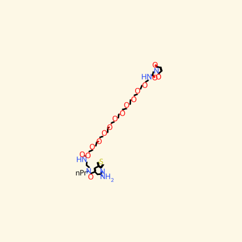 CCCN(CCCNC(=O)OCCOCCOCCOCCOCCOCCOCCOCCOCCOCCOCCNC(=O)CN1C(=O)C=CC1=O)C(=O)C1=Cc2cscc2N=C(N)C1